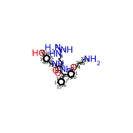 N=C(N)NCCC[C@@H](NC(=O)C(c1ccccc1)c1cccc(OCCCCN)c1)C(=O)NCc1ccc(O)cc1